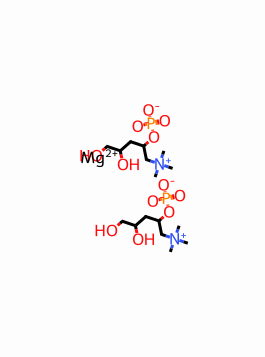 C[N+](C)(C)CC(CC(O)CO)OP(=O)([O-])[O-].C[N+](C)(C)CC(CC(O)CO)OP(=O)([O-])[O-].[Mg+2]